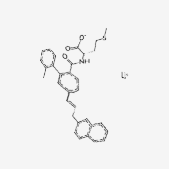 CSCC[C@H](NC(=O)c1ccc(C=CCc2ccc3ccccc3c2)cc1-c1ccccc1C)C(=O)[O-].[Li+]